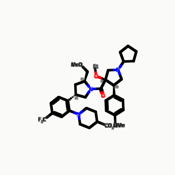 CCO[C@@]1(C(=O)N2C[C@H](c3ccc(C(F)(F)F)cc3N3CCC(C(=O)O)CC3)C[C@H]2COC)CN(C2CCCC2)C[C@H]1c1ccc(OC)cc1